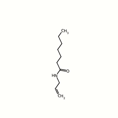 C=CCNC(=O)CCCCCC